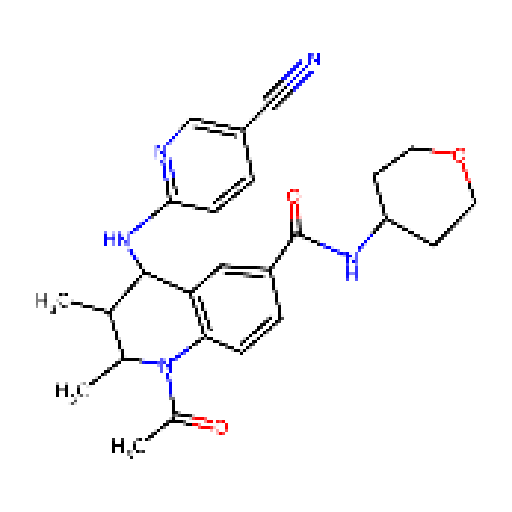 CC(=O)N1c2ccc(C(=O)NC3CCOCC3)cc2C(Nc2ccc(C#N)cn2)C(C)C1C